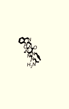 CC#CCn1c(N(C)CC(C)N)nc2c1c(=O)n(Cc1ncc3ccccc3n1)c(=O)n2C